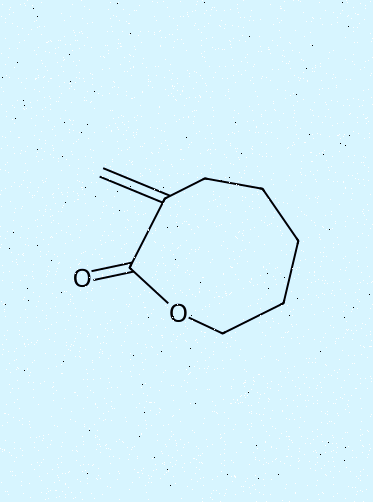 C=C1CCCCCOC1=O